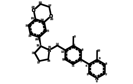 Cc1cc(-c2cnccc2C)ccc1CN1CCC[C@H]1c1ccc2c(c1)OCCO2